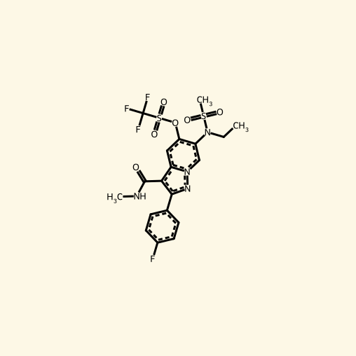 CCN(c1cn2nc(-c3ccc(F)cc3)c(C(=O)NC)c2cc1OS(=O)(=O)C(F)(F)F)S(C)(=O)=O